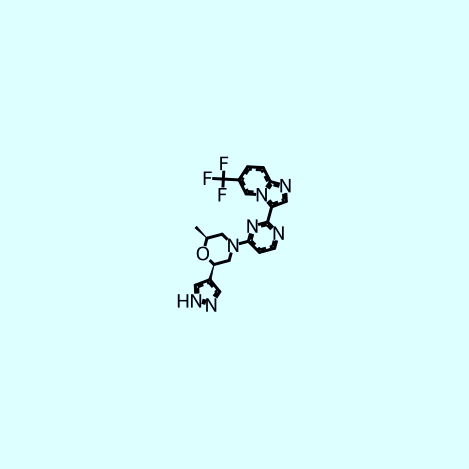 C[C@H]1CN(c2ccnc(-c3cnc4ccc(C(F)(F)F)cn34)n2)C[C@@H](c2cn[nH]c2)O1